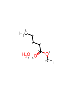 CCCCC(=O)OC.O